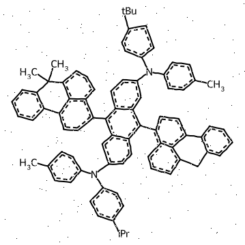 Cc1ccc(N(c2ccc(C(C)(C)C)cc2)c2ccc3c(-c4ccc5c6c(cccc46)C(C)(C)c4ccccc4-5)c4cc(N(c5ccc(C)cc5)c5ccc(C(C)C)cc5)ccc4c(-c4ccc5c6c(cccc46)Cc4ccccc4-5)c3c2)cc1